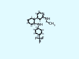 CCNc1cc(-c2ccccc2Nc2ccc(C(F)(F)F)cc2)ccn1